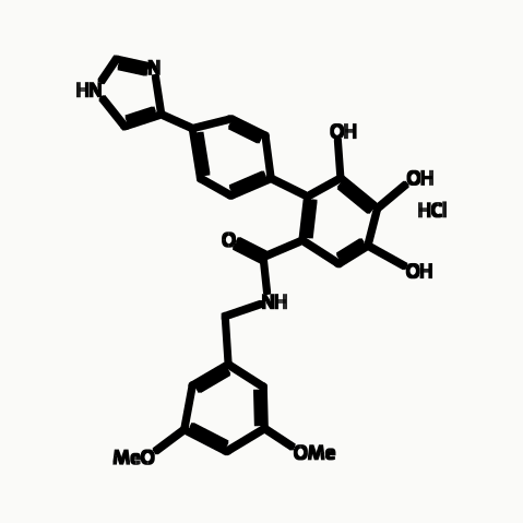 COc1cc(CNC(=O)c2cc(O)c(O)c(O)c2-c2ccc(-c3c[nH]cn3)cc2)cc(OC)c1.Cl